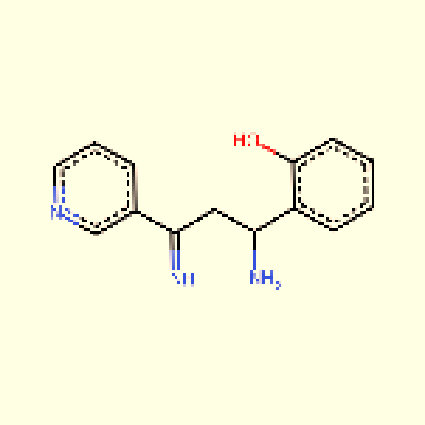 N=C(CC(N)c1ccccc1O)c1cccnc1